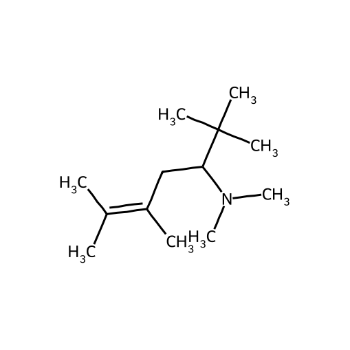 CC(C)=C(C)CC(N(C)C)C(C)(C)C